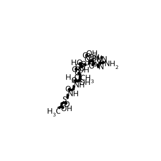 CCC(O)CC(=O)SCCNC(=O)CCNC(=O)[C@H](O)C(C)(C)COP(=O)(O)OP(=O)(O)OC[C@H]1O[C@@H](n2cnc3c(N)ncnc32)[C@H](O)[C@@H]1OP(=O)(O)O